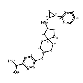 OC(O)c1ccc(CN2CCC3(CC2)CC(N[C@@H]2C[C@H]2c2ccccc2)CO3)cc1